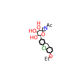 CCOc1ccc(Cc2cc([C@@H]3OC4(CN(C(C)=O)C4)[C@@H](O)[C@H](O)[C@H]3O)ccc2Cl)cc1